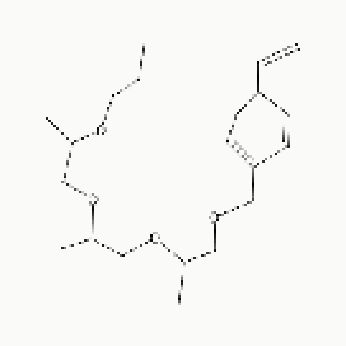 C=CC1C=CC(COCC(C)OCC(C)OCC(C)OCCC)=CC1